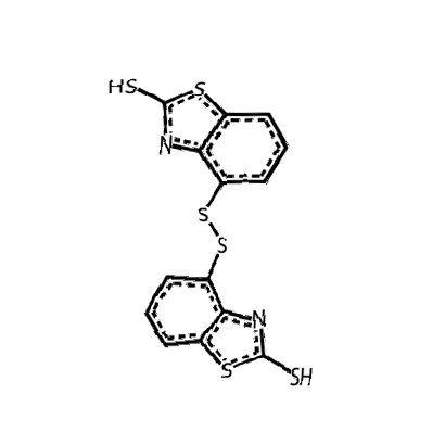 Sc1nc2c(SSc3cccc4sc(S)nc34)cccc2s1